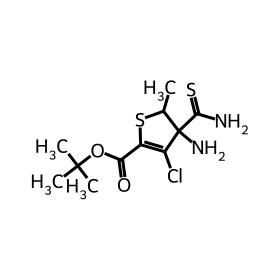 CC1SC(C(=O)OC(C)(C)C)=C(Cl)C1(N)C(N)=S